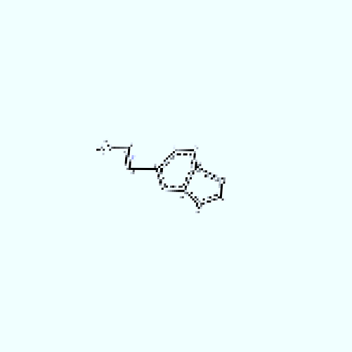 O=[N+]([O-])/C=C/c1ccc2ncoc2c1